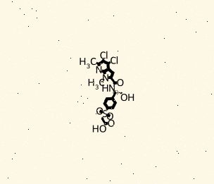 Cc1nc2c(cc(C(=O)N[C@H](CO)c3ccc(S(=O)(=O)CC(=O)O)cc3)n2C)c(Cl)c1Cl